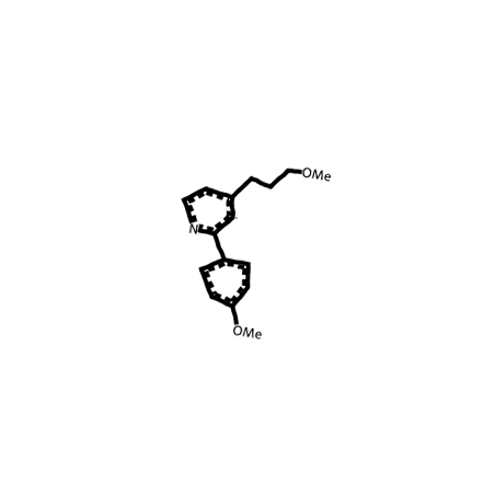 COCCCc1[c]c(-c2ccc(OC)cc2)ncc1